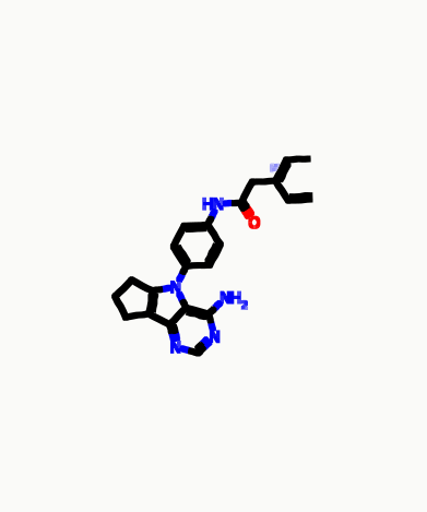 C=C/C(=C\C)CC(=O)Nc1ccc(-n2c3c(c4ncnc(N)c42)CCC3)cc1